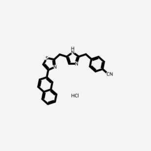 Cl.N#Cc1ccc(Cc2ncc(Cc3nc(-c4ccc5ccccc5c4)cs3)[nH]2)cc1